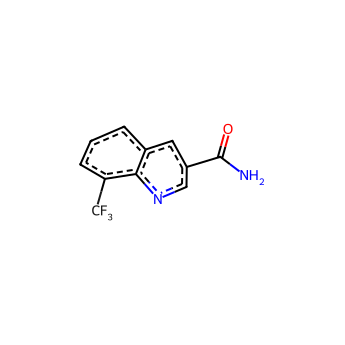 NC(=O)c1cnc2c(C(F)(F)F)cccc2c1